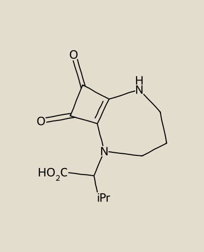 CC(C)C(C(=O)O)N1CCCNc2c1c(=O)c2=O